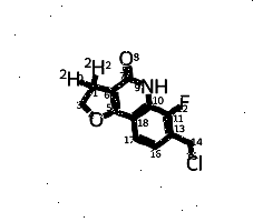 [2H]C1([2H])COc2c1c(=O)[nH]c1c(F)c(CCl)ccc21